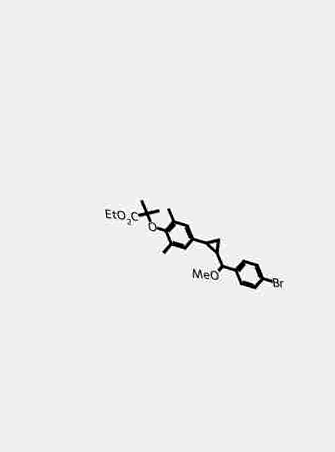 CCOC(=O)C(C)(C)Oc1c(C)cc(C2CC2C(OC)c2ccc(Br)cc2)cc1C